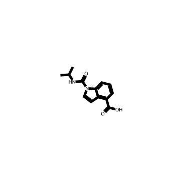 CC(C)NC(=O)n1ccc2c(C(=O)O)cccc21